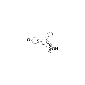 O=C1CC[S+](C(CCCS(=O)(=O)O)CC(=O)C2CCCC2)CC1